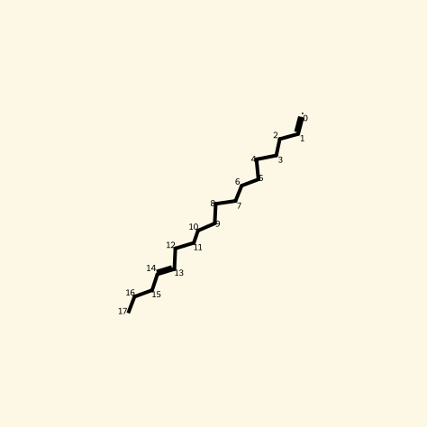 [CH]=CCCCCCCCCCCCC=CCCC